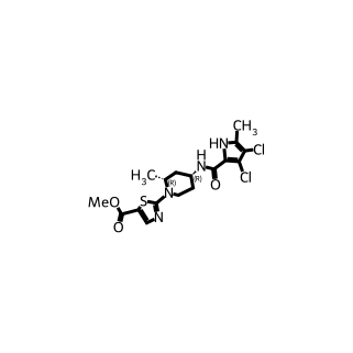 COC(=O)c1cnc(N2CC[C@@H](NC(=O)c3[nH]c(C)c(Cl)c3Cl)C[C@H]2C)s1